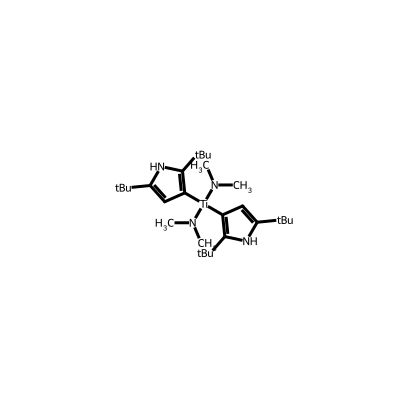 C[N](C)[Ti]([c]1cc(C(C)(C)C)[nH]c1C(C)(C)C)([c]1cc(C(C)(C)C)[nH]c1C(C)(C)C)[N](C)C